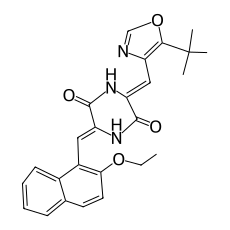 CCOc1ccc2ccccc2c1C=c1[nH]c(=O)c(=Cc2ncoc2C(C)(C)C)[nH]c1=O